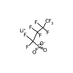 O=S(=O)([O-])C(F)(F)C(F)(F)C(F)(F)C(F)(F)F.[Li+]